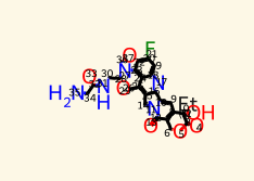 CC[C@@]1(O)C(=O)OCc2c1cc1n(c2=O)Cc2c-1nc1cc(F)c3c(c1c2C)N(C(=O)CNC(=O)CN)CO3